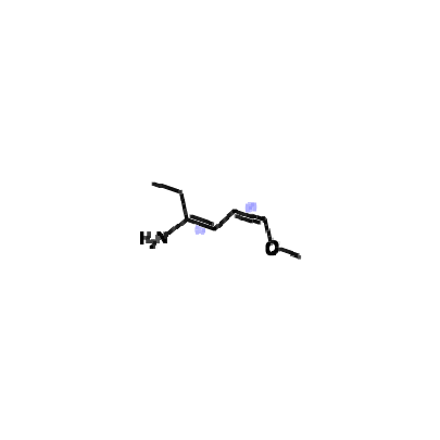 CC/C(N)=C\C=C/OC